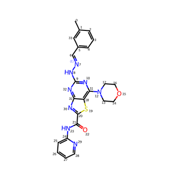 Cc1cccc(/C=N/Nc2nc(N3CCOCC3)c3sc(C(=O)Nc4ccccn4)nc3n2)c1